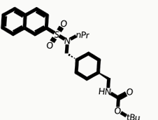 CCCN(C[C@H]1CC[C@H](CNC(=O)OC(C)(C)C)CC1)S(=O)(=O)c1ccc2ccccc2c1